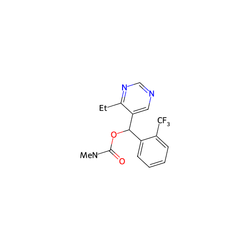 CCc1ncncc1C(OC(=O)NC)c1ccccc1C(F)(F)F